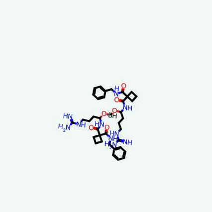 N=C(N)NCCCC(NC(=O)C1(C(=O)NCc2ccccc2)CCC1)OBOC(CCCNC(=N)N)NC(=O)C1(C(=O)NCc2ccccc2)CCC1